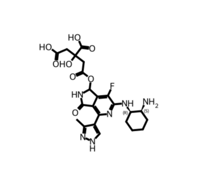 Cc1n[nH]cc1-c1nc(N[C@@H]2CCCC[C@@H]2N)c(F)c2c1C(=O)NC2OC(=O)CC(O)(CC(=O)O)C(=O)O